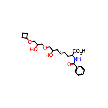 O=C(NC(CCSCC(O)COCC(O)COC1CCC1)C(=O)O)c1ccccc1